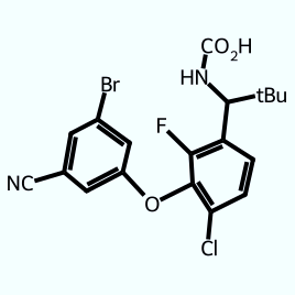 CC(C)(C)C(NC(=O)O)c1ccc(Cl)c(Oc2cc(Br)cc(C#N)c2)c1F